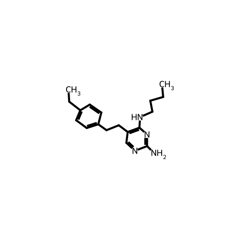 CCCCNc1nc(N)ncc1CCc1ccc(CC)cc1